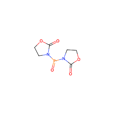 O=C1OCCN1[P](=O)N1CCOC1=O